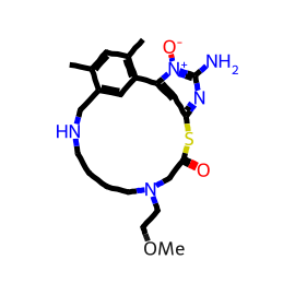 COCCN1CCCCNCc2cc(c(C)cc2C)-c2cc(nc(N)[n+]2[O-])SC(=O)C1